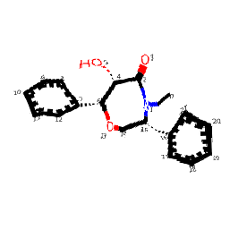 CN1C(=O)[C@@H](O)[C@@H](c2ccccc2)OC[C@H]1c1ccccc1